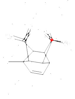 CC12C=CC(C(C(=O)O)C1C(=O)O)C(C(=O)O)C2C(=O)O